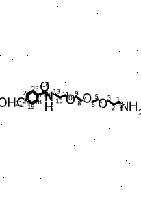 NCCCOCCOCCOCCCNC(=O)c1ccc(C=O)cc1